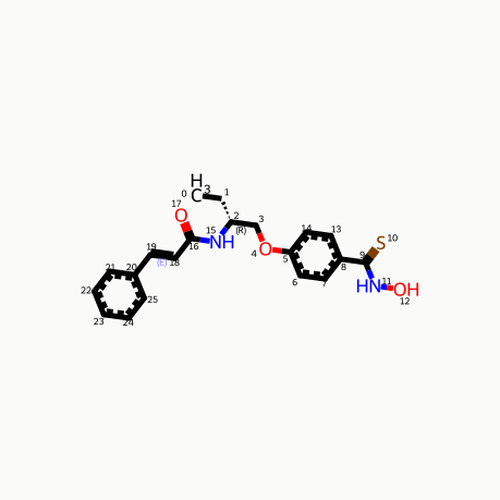 CC[C@H](COc1ccc(C(=S)NO)cc1)NC(=O)/C=C/c1ccccc1